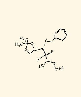 CC1(C)OCC([C@H](OCc2ccccc2)C(F)(F)[C@H](O)CO)O1